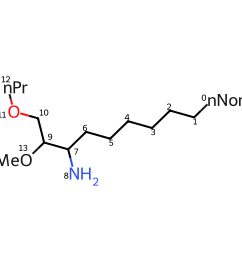 CCCCCCCCCCCCCCCC(N)C(COCCC)OC